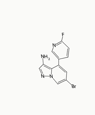 Nc1cnn2cc(Br)cc(-c3ccc(F)nc3)c12